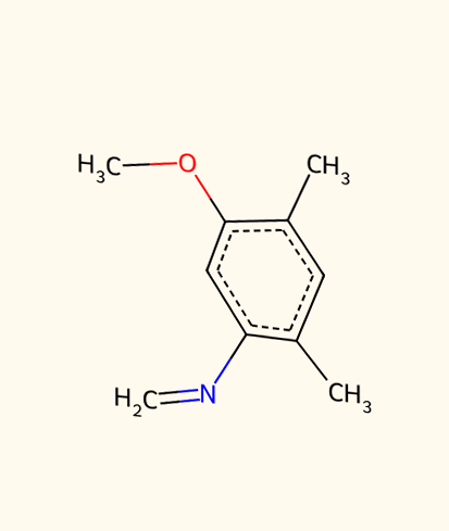 C=Nc1cc(OC)c(C)cc1C